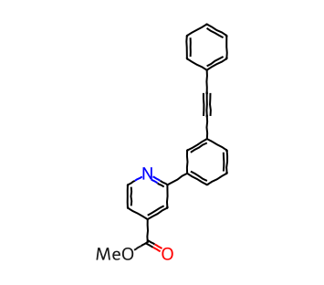 COC(=O)c1ccnc(-c2cccc(C#Cc3ccccc3)c2)c1